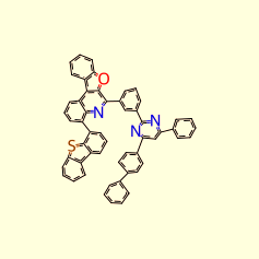 c1ccc(-c2ccc(-c3cc(-c4ccccc4)nc(-c4cccc(-c5nc6c(-c7cccc8c7sc7ccccc78)cccc6c6c5oc5ccccc56)c4)n3)cc2)cc1